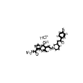 Cc1nc2c(C(N)=O)ncn2c(O)c1CCN1CCCC(CC(=O)c2ccc(F)cc2)C1.Cl